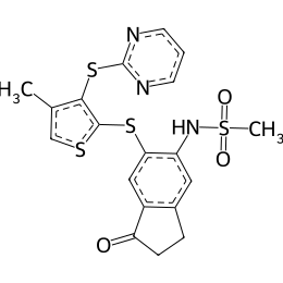 Cc1csc(Sc2cc3c(cc2NS(C)(=O)=O)CCC3=O)c1Sc1ncccn1